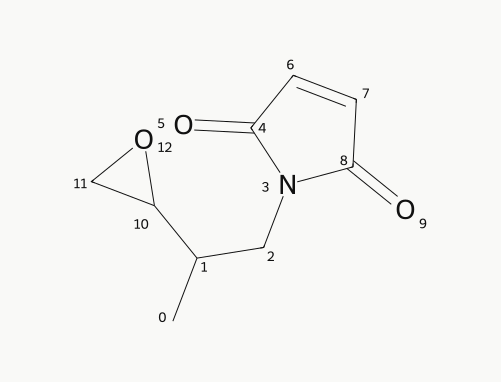 CC(CN1C(=O)C=CC1=O)C1CO1